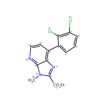 CCOC(=O)c1nc2c(-c3cccc(Cl)c3Cl)ccnc2n1C